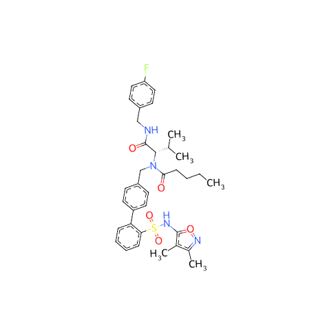 CCCCC(=O)N(Cc1ccc(-c2ccccc2S(=O)(=O)Nc2onc(C)c2C)cc1)[C@H](C(=O)NCc1ccc(F)cc1)C(C)C